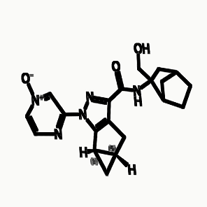 O=C(NC1(CO)CC2CCC1C2)c1nn(-c2c[n+]([O-])ccn2)c2c1C[C@@H]1C[C@H]21